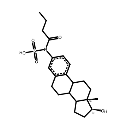 CCCC(=O)N(c1ccc2c(c1)CCC1C2CC[C@@]2(C)C1CC[C@@H]2O)S(=O)(=O)O